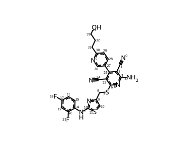 N#Cc1c(N)nc(SCc2csc(Nc3ccc(F)cc3F)n2)c(C#N)c1-c1ccc(CCCO)nc1